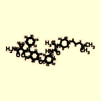 CN(C)CCCN1CCC(N(C)C(=O)Nc2cc(Oc3ccc(N(C(=O)C4(C(N)=O)CC4)c4ccccc4)c(F)c3)ccn2)CC1